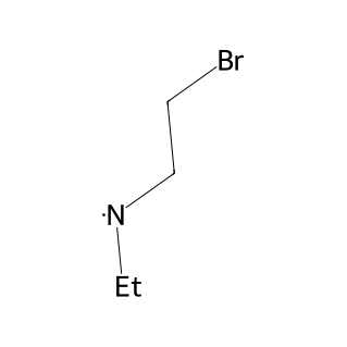 CC[N]CCBr